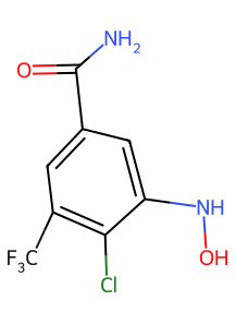 NC(=O)c1cc(NO)c(Cl)c(C(F)(F)F)c1